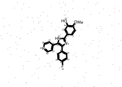 COc1ccc(-c2nc(-c3ccc(F)cc3)c(-c3ccncc3)[nH]2)cc1O